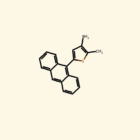 Bc1cc(-c2c3ccccc3cc3ccccc23)sc1C